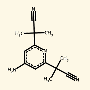 CC(C)(C#N)c1cc(N)cc(C(C)(C)C#N)n1